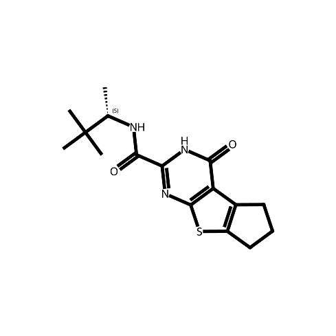 C[C@H](NC(=O)c1nc2sc3c(c2c(=O)[nH]1)CCC3)C(C)(C)C